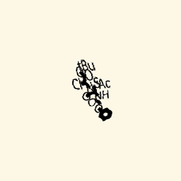 CC(=O)S[C@H]1C(NC(=O)COc2ccccc2)C(=O)N1C(Cl)C(=O)OC(C)(C)C